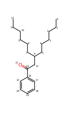 CCCCCCC(CCCCCC)CC(=O)c1ccccc1